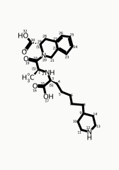 C[C@H](N[C@@H](CCCCCC1CCNCC1)C(=O)O)C(=O)N1Cc2ccccc2C[C@H]1C(=O)O